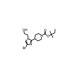 CCC(C)(C)OC(=O)N1CCC(c2nc(Br)cn2CCO)CC1